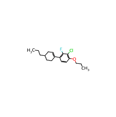 CCCOc1ccc(C2=CCC(CCC)CC2)c(F)c1Cl